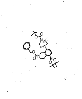 C[C@@H]1CN(c2ccc(B3OC(C)(C)C(C)(C)O3)c3c2CN(C(=O)OCc2ccccc2)CC3)CCN1C(=O)OC(C)(C)C